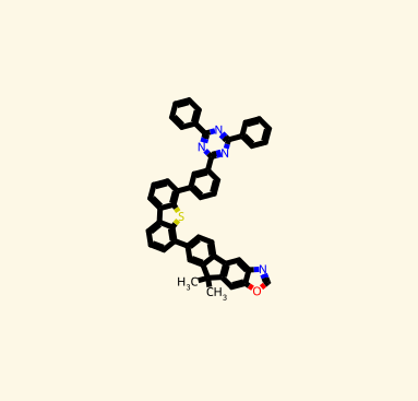 CC1(C)c2cc(-c3cccc4c3sc3c(-c5cccc(-c6nc(-c7ccccc7)nc(-c7ccccc7)n6)c5)cccc34)ccc2-c2cc3ncoc3cc21